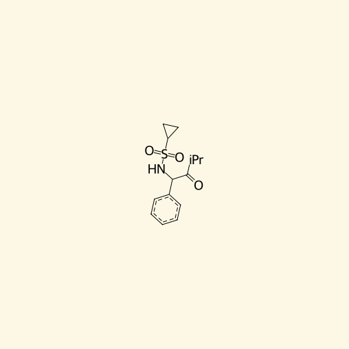 CC(C)C(=O)C(NS(=O)(=O)C1CC1)c1ccccc1